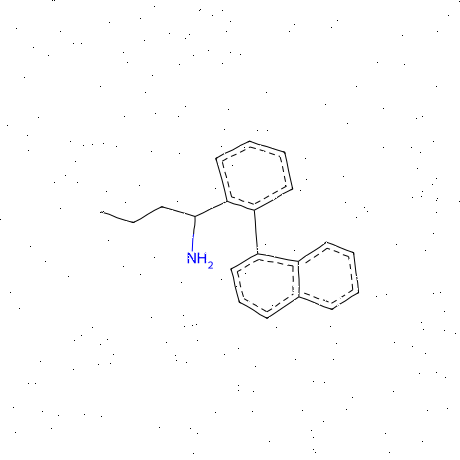 CCCC(N)c1ccccc1-c1cccc2ccccc12